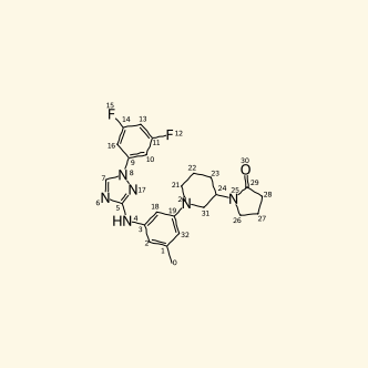 Cc1cc(Nc2ncn(-c3cc(F)cc(F)c3)n2)cc(N2CCCC(N3CCCC3=O)C2)c1